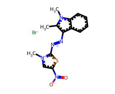 Cc1c(/N=N/c2sc([N+](=O)[O-])c[n+]2C)c2ccccc2n1C.[Br-]